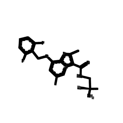 CC[C@@](C)(N)CNC(=O)c1c(C)nc2c(OCc3c(F)cccc3F)cc(C)cn12